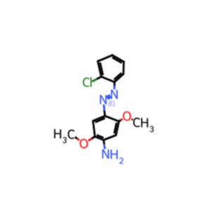 COc1cc(/N=N/c2ccccc2Cl)c(OC)cc1N